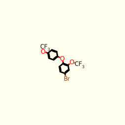 FC(F)(F)Oc1ccc(Oc2ccc(Br)cc2OC(F)(F)F)cc1